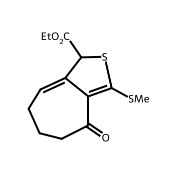 CCOC(=O)C1SC(SC)=C2C(=O)CCCC=C21